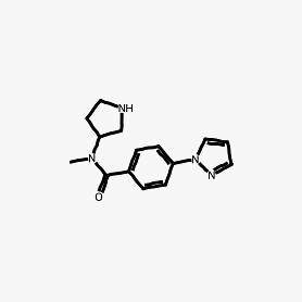 CN(C(=O)c1ccc(-n2cccn2)cc1)C1CCNC1